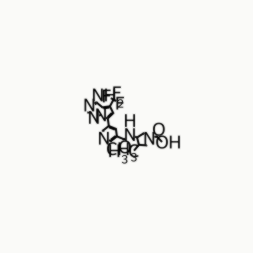 Cc1ncc(-c2cc(C(F)(F)F)c3c(N)ncnn23)cc1C(=O)NC1CN(C(=O)O)CC1C